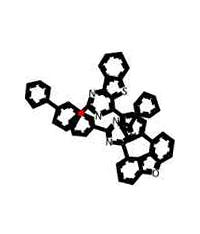 c1ccc(-c2cccc(-c3nc(-c4ccc(-c5cccc6oc7cccc(-c8nc(-c9ccccc9)nc(-c9ccccc9)n8)c7c56)cc4)c4sc5ccccc5c4n3)c2)cc1